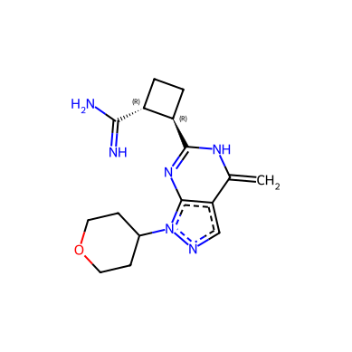 C=C1NC([C@@H]2CC[C@H]2C(=N)N)=Nc2c1cnn2C1CCOCC1